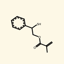 C=C(C)C(=O)OCC(S)c1ccccc1